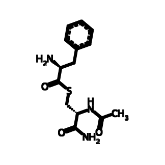 CC(=O)N[C@@H](CSC(=O)[C@@H](N)Cc1ccccc1)C(N)=O